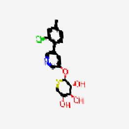 Cc1ccc(-c2cncc(O[C@@H]3SC[C@@H](O)[C@H](O)[C@H]3O)c2)c(Cl)c1